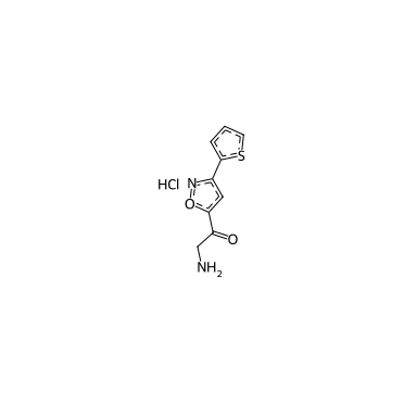 Cl.NCC(=O)c1cc(-c2cccs2)no1